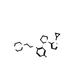 Fc1ccc(OCCN2CCOCC2)c([C@H]2CCCN2c2ccnn2C2CC2)c1